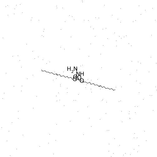 CCCCCCCCC=CCCCCCCCCOCC(COCCCCCCCCC=CCCCCCCCC)OC(=O)NCCN